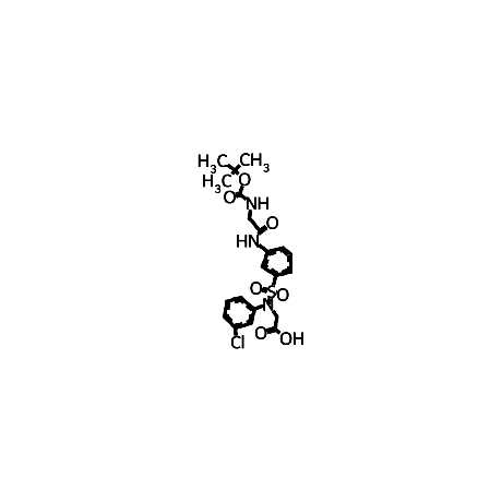 CC(C)(C)OC(=O)NCC(=O)Nc1cccc(S(=O)(=O)N(CC(=O)O)c2cccc(Cl)c2)c1